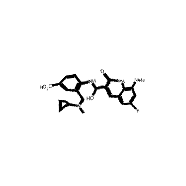 CNc1cc(F)cc2cc(C(O)Nc3ccc(C(=O)O)cc3CN(C)C3CC3)c(=O)[nH]c12